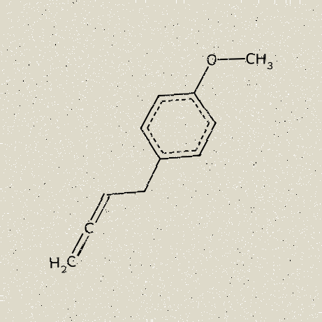 C=C=CCc1ccc(OC)cc1